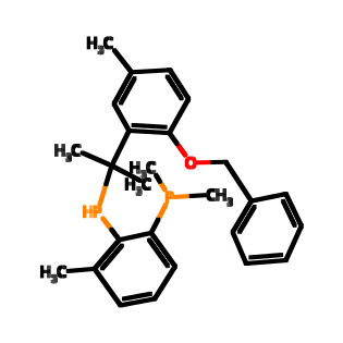 Cc1ccc(OCc2ccccc2)c(C(C)(C)Pc2c(C)cccc2P(C)C)c1